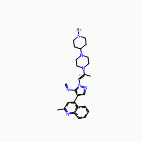 C=Nc1c(-c2cc(C)nc3ccccc23)cnn1/C=C(\C)N1CCN(C2CCN(C(C)=O)CC2)CC1